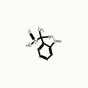 COc1ccccc1C(C)(N)[PH](=O)O